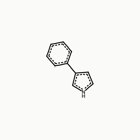 [c]1ccccc1-c1cc[nH]c1